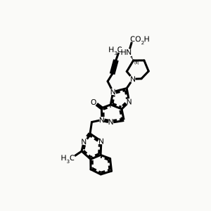 CC#CCn1c(N2CCC[C@@H](NC(=O)O)C2)nc2cnn(Cc3nc(C)c4ccccc4n3)c(=O)c21